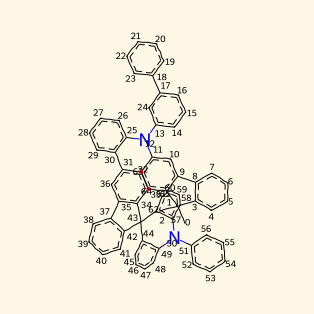 CC1(C)c2ccccc2-c2cc(N(c3cccc(-c4ccccc4)c3)c3ccccc3-c3ccc4c(c3)-c3ccccc3C43c4ccccc4N(c4ccccc4)c4ccccc43)ccc21